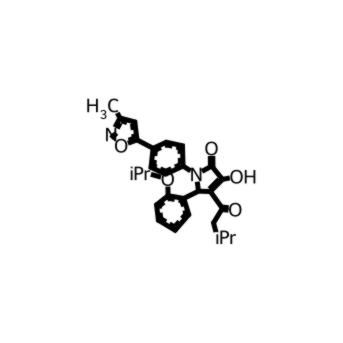 Cc1cc(-c2ccc(N3C(=O)C(O)=C(C(=O)CC(C)C)C3c3ccccc3OC(C)C)cc2)on1